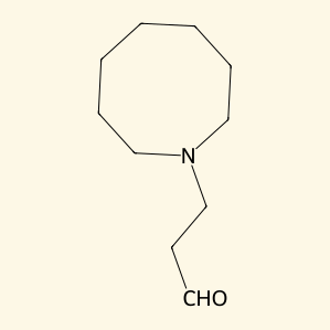 O=CCCN1CCCCCCC1